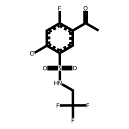 CC(=O)c1cc(S(=O)(=O)NCC(F)(F)F)c(Cl)cc1F